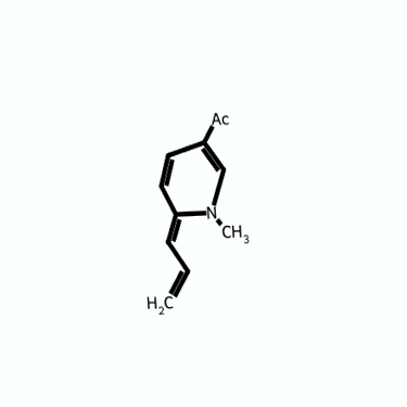 C=C/C=C1/C=CC(C(C)=O)=CN1C